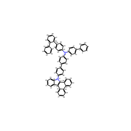 c1ccc(-c2ccc(N(c3ccc(-c4ccc(-n5c6ccccc6c6c7ccccc7c7ccccc7c65)cc4)cc3)c3ccc(-c4ccccc4-c4ccccc4)cc3)cc2)cc1